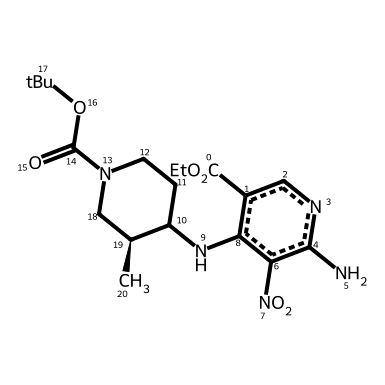 CCOC(=O)c1cnc(N)c([N+](=O)[O-])c1NC1CCN(C(=O)OC(C)(C)C)C[C@@H]1C